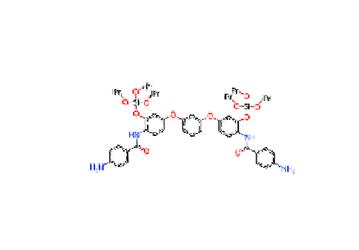 CC(C)O[Si](Oc1cc(Oc2cccc(Oc3ccc(NC(=O)c4ccc(N)cc4)c(O[Si](OC(C)C)(OC(C)C)OC(C)C)c3)c2)ccc1NC(=O)c1ccc(N)cc1)(OC(C)C)OC(C)C